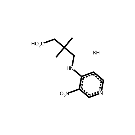 CC(C)(CNc1ccncc1[N+](=O)[O-])CC(=O)O.[KH]